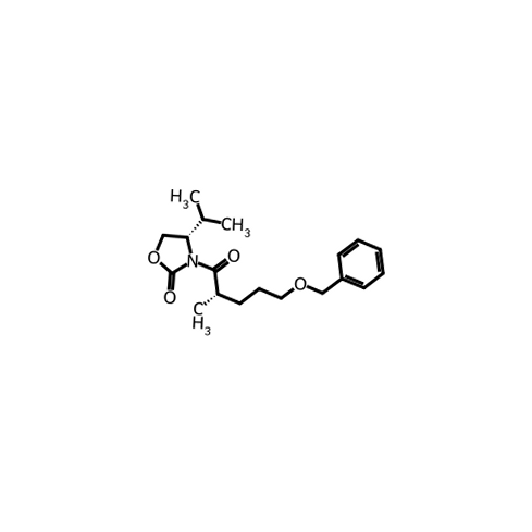 CC(C)[C@H]1COC(=O)N1C(=O)[C@@H](C)CCCOCc1ccccc1